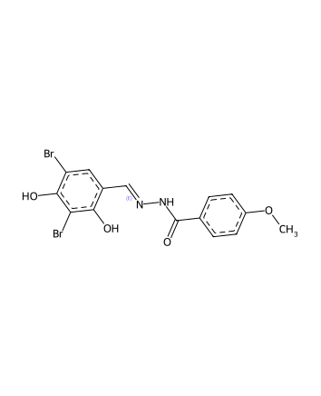 COc1ccc(C(=O)N/N=C/c2cc(Br)c(O)c(Br)c2O)cc1